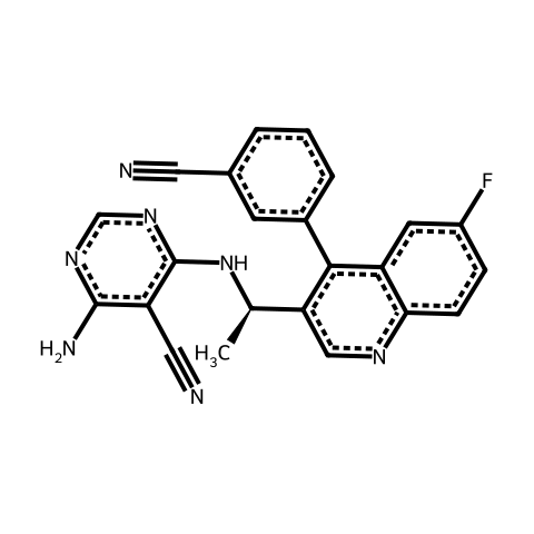 C[C@@H](Nc1ncnc(N)c1C#N)c1cnc2ccc(F)cc2c1-c1cccc(C#N)c1